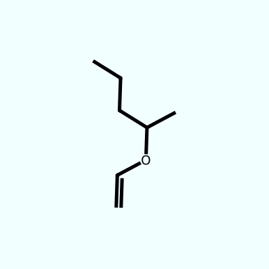 C=COC(C)CCC